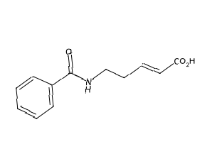 O=C(O)C=CCCNC(=O)c1ccccc1